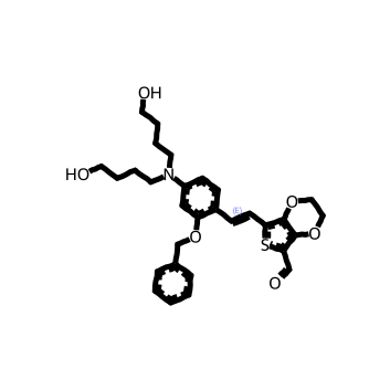 O=Cc1sc(/C=C/c2ccc(N(CCCCO)CCCCO)cc2OCc2ccccc2)c2c1OCCO2